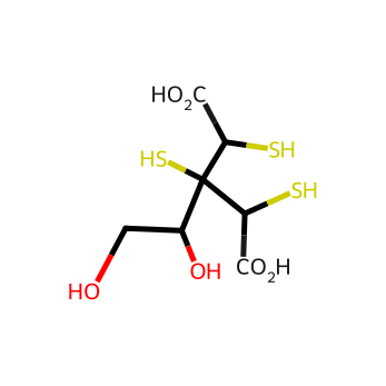 O=C(O)C(S)C(S)(C(O)CO)C(S)C(=O)O